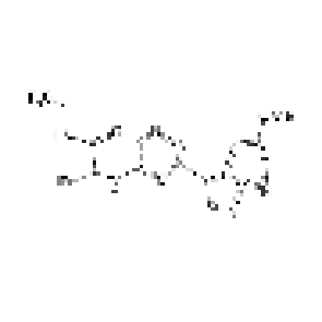 COc1cnc2[nH]cc(-c3nncc(NC(C(=O)NCC(F)(F)F)C(C)C)n3)c2c1